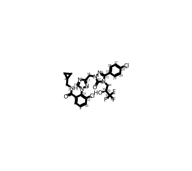 O=C(NCC1CC1)c1cccc(Cl)c1-n1cnc(Cn2nc(-c3ccc(Cl)cc3)n(C[C@H](O)C(F)(F)F)c2=O)n1